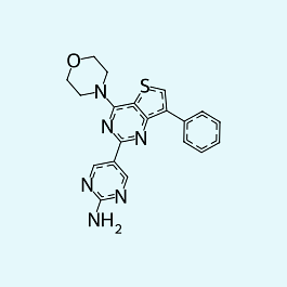 Nc1ncc(-c2nc(N3CCOCC3)c3scc(-c4ccccc4)c3n2)cn1